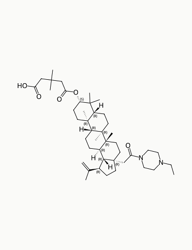 C=C(C)[C@@H]1CC[C@]2(CC(=O)N3CCN(CC)CC3)CC[C@]3(C)[C@H](CC[C@@H]4[C@@]5(C)CC[C@H](OC(=O)CC(C)(C)CC(=O)O)C(C)(C)[C@@H]5CC[C@]43C)[C@@H]12